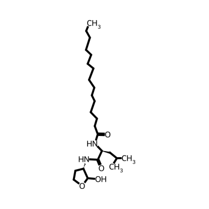 CCCCCCCCCCCCCCC(=O)N[C@@H](CC(C)C)C(=O)N[C@H]1CCOC1O